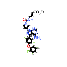 CCOC(=O)C=CCNC(=O)N1CCC(n2nc(-c3ccc(Oc4c(F)c(F)cc(F)c4F)cc3F)c3c(N)ncnc32)C1